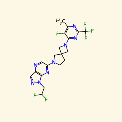 Cc1nc(C(F)(F)F)nc(N2CC3(CCN(c4cnc5cnn(CC(F)F)c5n4)C3)C2)c1F